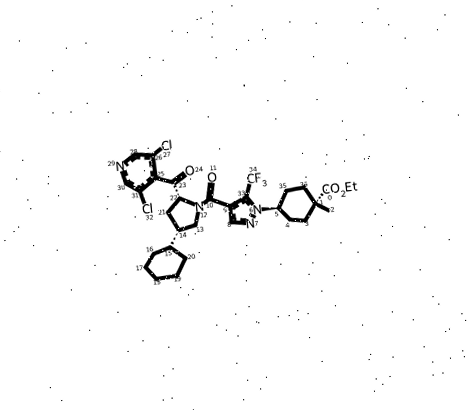 CCOC(=O)[C@]1(C)CC[C@@H](n2ncc(C(=O)N3C[C@H](C4CCCCC4)C[C@@H]3C(=O)c3c(Cl)cncc3Cl)c2C(F)(F)F)CC1